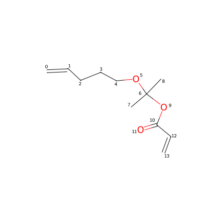 C=CCCCOC(C)(C)OC(=O)C=C